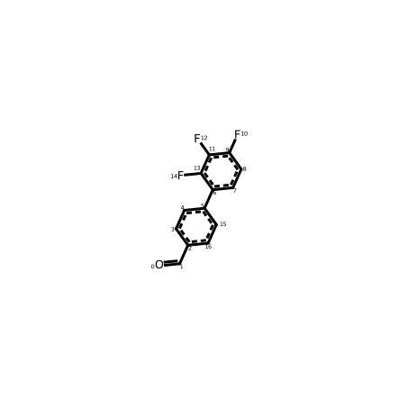 O=Cc1ccc(-c2ccc(F)c(F)c2F)cc1